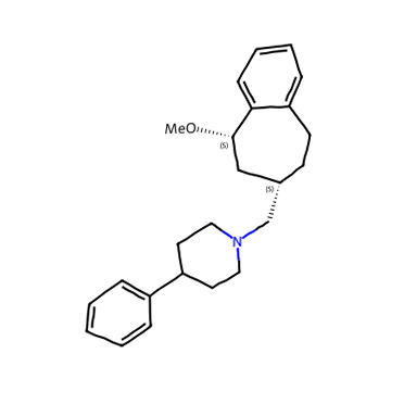 CO[C@H]1C[C@@H](CN2CCC(c3ccccc3)CC2)CCc2ccccc21